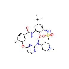 COc1c(NC(=O)c2ccc(C)c(Oc3ccnc(NC4CCN(C)CC4)n3)c2)cc(C(C)(C)C)cc1NS(C)(=O)=O